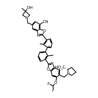 Cc1c(-c2nc3cc(CN4CCC[C@H]4C(=O)O)c(OC(F)F)cc3o2)cccc1-c1cccc(-c2nc3cc(CN4CC(C)(O)C4)cc(C#N)c3o2)c1C